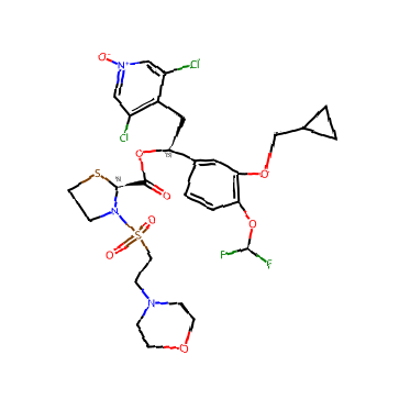 O=C(O[C@@H](Cc1c(Cl)c[n+]([O-])cc1Cl)c1ccc(OC(F)F)c(OCC2CC2)c1)[C@@H]1SCCN1S(=O)(=O)CCN1CCOCC1